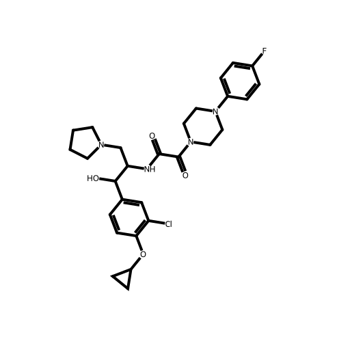 O=C(NC(CN1CCCC1)C(O)c1ccc(OC2CC2)c(Cl)c1)C(=O)N1CCN(c2ccc(F)cc2)CC1